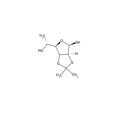 C[C@@H](O)[C@H]1O[C@@H](S)[C@H]2OC(C)(C)OC21